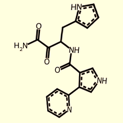 NC(=O)C(=O)C(Cc1ccc[nH]1)NC(=O)c1c[nH]cc1-c1ccccn1